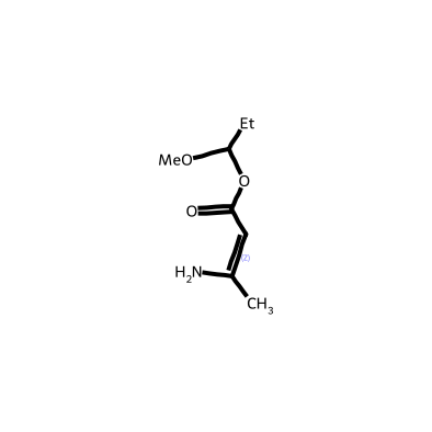 CCC(OC)OC(=O)/C=C(/C)N